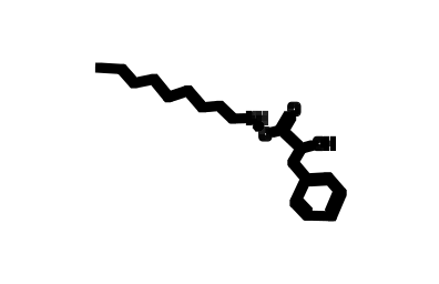 CCCCCCCCCNOC(=O)C(O)Cc1ccccc1